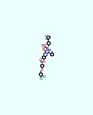 Cc1ccccc1C(=O)N1Cc2cc3c(cc2C[C@H]1C(=O)N[C@@H](Cc1ccc(-c2ccnc(C)c2C)cc1)C(=O)O)OC[C@H](c1ccc(OCc2ccc(Cl)c(Cl)c2)cc1)O3